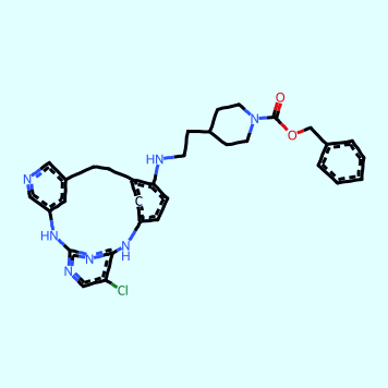 O=C(OCc1ccccc1)N1CCC(CCNc2ccc3cc2CCc2cncc(c2)Nc2ncc(Cl)c(n2)N3)CC1